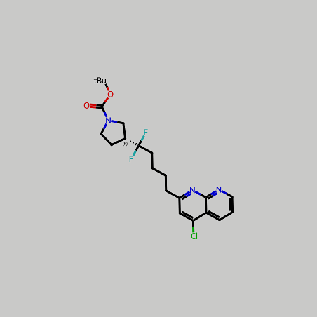 CC(C)(C)OC(=O)N1CC[C@@H](C(F)(F)CCCCc2cc(Cl)c3cccnc3n2)C1